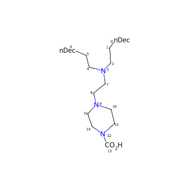 CCCCCCCCCCCCN(CCCCCCCCCCCC)CCN1CCN(C(=O)O)CC1